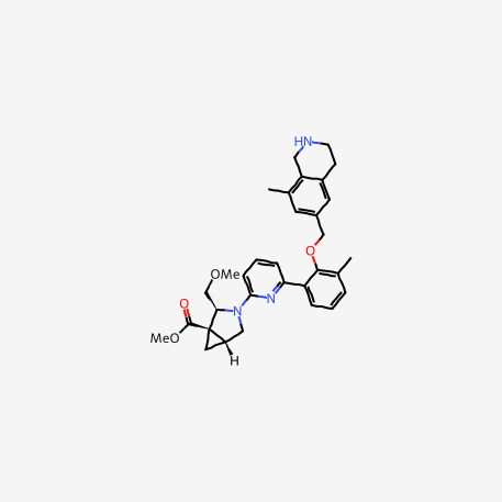 COC[C@H]1N(c2cccc(-c3cccc(C)c3OCc3cc(C)c4c(c3)CCNC4)n2)C[C@@H]2C[C@@]21C(=O)OC